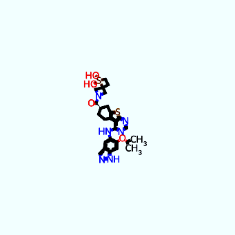 CC(C)Oc1cc2[nH]ncc2cc1Nc1ncnc2sc3c(c12)CC[C@H](C(=O)N1CC2(CCS2(O)O)C1)C3